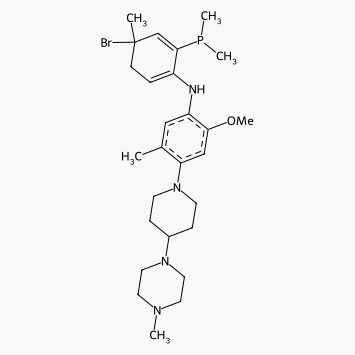 COc1cc(N2CCC(N3CCN(C)CC3)CC2)c(C)cc1NC1=CCC(C)(Br)C=C1P(C)C